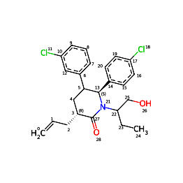 C=CC[C@@H]1CC(c2cccc(Cl)c2)[C@@H](c2ccc(Cl)cc2)N(C(CC)CO)C1=O